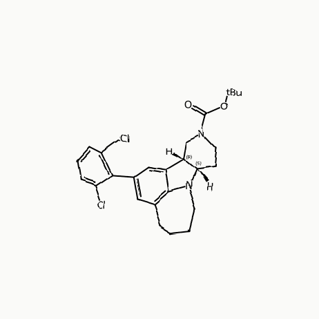 CC(C)(C)OC(=O)N1CC[C@H]2[C@@H](C1)c1cc(-c3c(Cl)cccc3Cl)cc3c1N2CCCC3